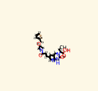 CCC(C(=O)O)N1Cc2cc(C=CC(=O)N3CC(OCc4cccs4)C3)cnc2NC1=O